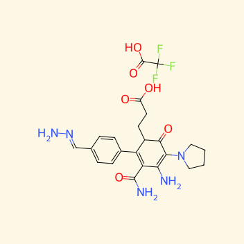 NN=Cc1ccc(C2=C(C(N)=O)C(N)=C(N3CCCC3)C(=O)C2CCC(=O)O)cc1.O=C(O)C(F)(F)F